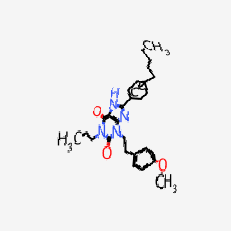 CCCCCC12CCC(c3nc4c([nH]3)c(=O)n(CCC)c(=O)n4CCc3ccc(OC)cc3)(CC1)CC2